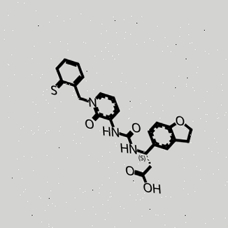 O=C(O)C[C@H](NC(=O)Nc1cccn(CC2=CC=CCC2=S)c1=O)c1ccc2c(c1)CCO2